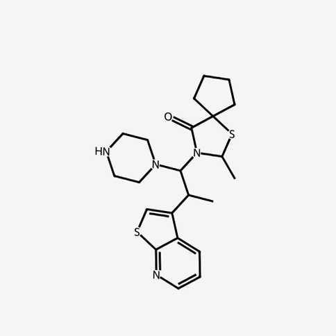 CC(c1csc2ncccc12)C(N1CCNCC1)N1C(=O)C2(CCCC2)SC1C